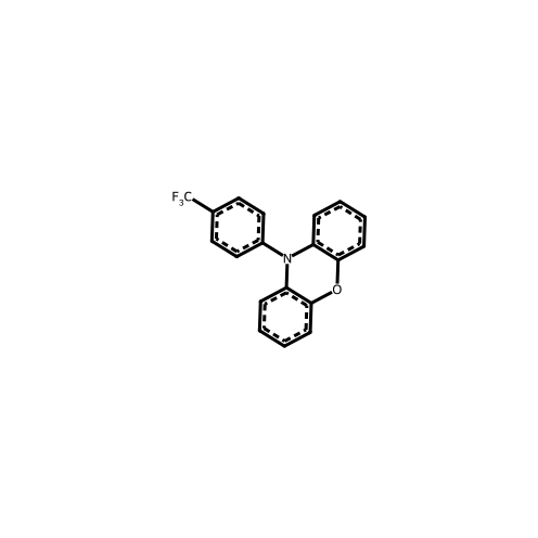 FC(F)(F)c1ccc(N2c3ccccc3Oc3ccccc32)cc1